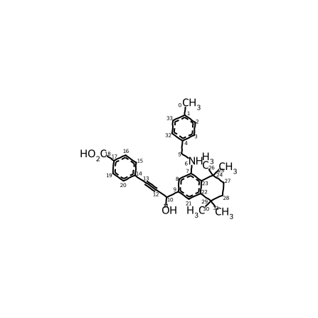 Cc1ccc(CNc2cc(C(O)C#Cc3ccc(C(=O)O)cc3)cc3c2C(C)(C)CCC3(C)C)cc1